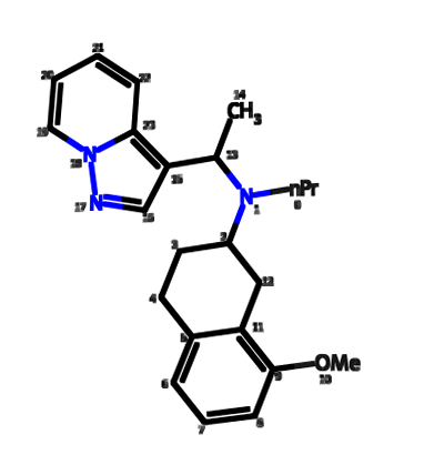 CCCN(C1CCc2cccc(OC)c2C1)C(C)c1cnn2ccccc12